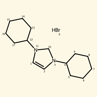 Br.C1=CN(C2CCCCC2)CN1C1CCCCC1